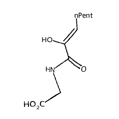 CCCCCC=C(O)C(=O)NCC(=O)O